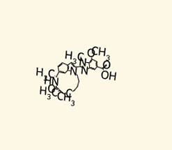 COc1cc(C(=O)O)cc2nc(-c3cc4ccc5cc4n3CCCCCCC(C)(C)C(=O)N[C@@H]5C)n(C)c12